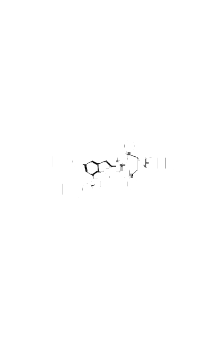 COc1cc(C)cc2cc(B3OC(=O)CN(C)CC(=O)O3)sc12